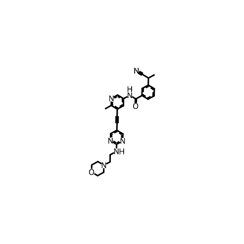 Cc1ncc(NC(=O)c2cccc(C(C)C#N)c2)cc1C#Cc1cnc(NCCN2CCOCC2)nc1